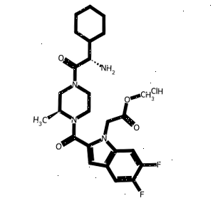 COC(=O)Cn1c(C(=O)N2CCN(C(=O)[C@@H](N)C3CCCCC3)C[C@@H]2C)cc2cc(F)c(F)cc21.Cl